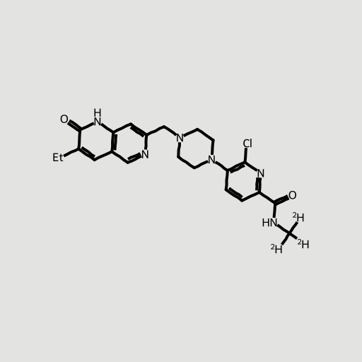 [2H]C([2H])([2H])NC(=O)c1ccc(N2CCN(Cc3cc4[nH]c(=O)c(CC)cc4cn3)CC2)c(Cl)n1